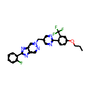 CCCOc1ccc(-c2ncc(Cn3cc4nc(-c5ccccc5F)nc-4cn3)cn2)c(C(F)(F)F)c1